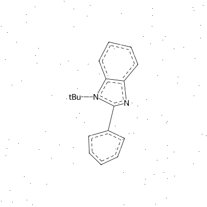 CC(C)(C)n1c(-c2ccccc2)nc2ccccc21